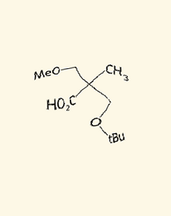 COCC(C)(COC(C)(C)C)C(=O)O